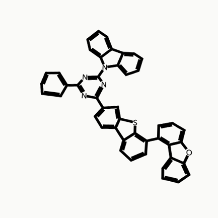 c1ccc(-c2nc(-c3ccc4c(c3)sc3c(-c5cccc6oc7ccccc7c56)cccc34)nc(-n3c4ccccc4c4ccccc43)n2)cc1